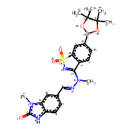 CC(C)n1c(=O)[nH]c2ccc(/C=N/N(C)C3=NS(=O)(=O)c4cc(B5OC(C)(C)C(C)(C)O5)ccc43)cc21